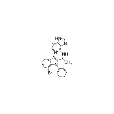 CC(Nc1ncnc2[nH]cnc12)c1nc2cccc(Br)c2n1-c1ccccc1